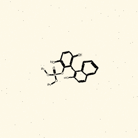 CC(C)OP(=O)(Oc1c(O)ccc(O)c1-c1c(O)ccc2ccccc12)OC(C)C